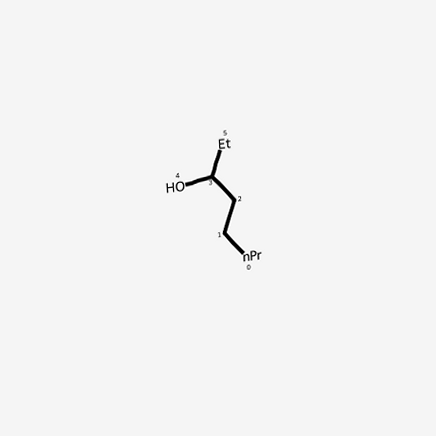 CCCC[CH]C(O)CC